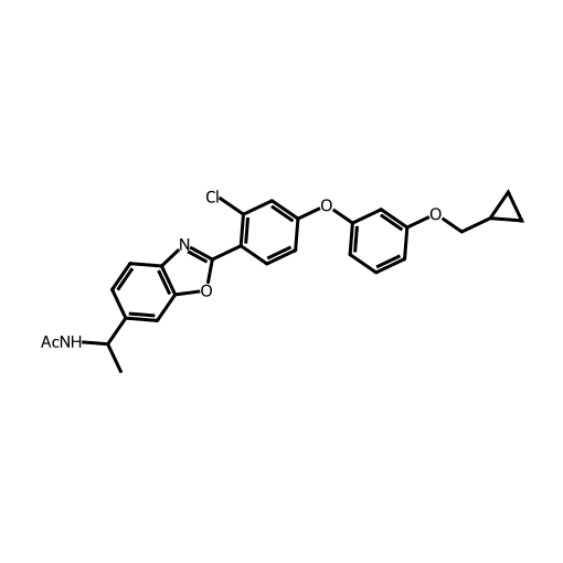 CC(=O)NC(C)c1ccc2nc(-c3ccc(Oc4cccc(OCC5CC5)c4)cc3Cl)oc2c1